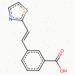 O=C(O)c1cccc(C=Cc2nccs2)c1